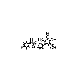 O=C(Nc1ccc(F)cc1)Oc1cccc([C@H]2O[C@H](CO)[C@@H](O)[C@H](O)[C@H]2O)c1